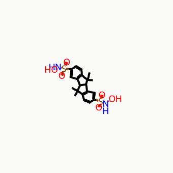 CC1(C)c2ccc(S(=O)(=O)NO)cc2C2C1c1cc(S(=O)(=O)NO)ccc1C2(C)C